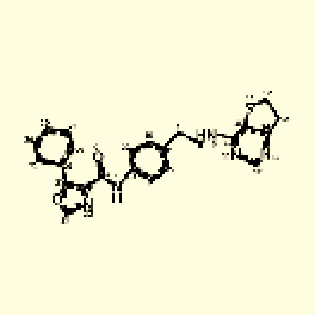 O=C(Nc1ccc(CCNc2ncnc3c2SCC3)cc1)c1ncoc1-c1ccccc1